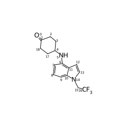 O=C1CCC(Nc2cccc3c2ccn3CC(F)(F)F)CC1